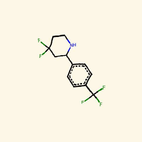 FC1(F)CCNC(c2ccc(C(F)(F)F)cc2)C1